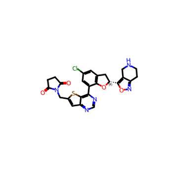 O=C1CCC(=O)N1Cc1cc2ncnc(-c3cc(Cl)cc4c3O[C@@H](c3onc5c3CNCC5)C4)c2s1